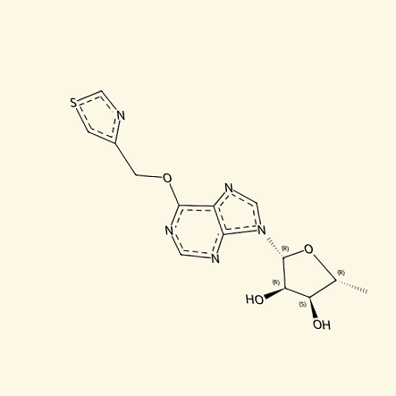 C[C@H]1O[C@@H](n2cnc3c(OCc4cscn4)ncnc32)[C@H](O)[C@@H]1O